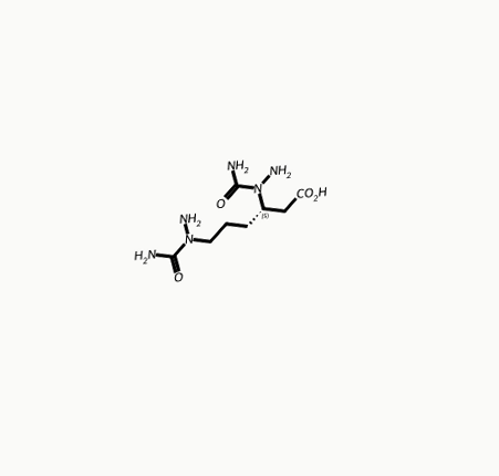 NC(=O)N(N)CCC[C@@H](CC(=O)O)N(N)C(N)=O